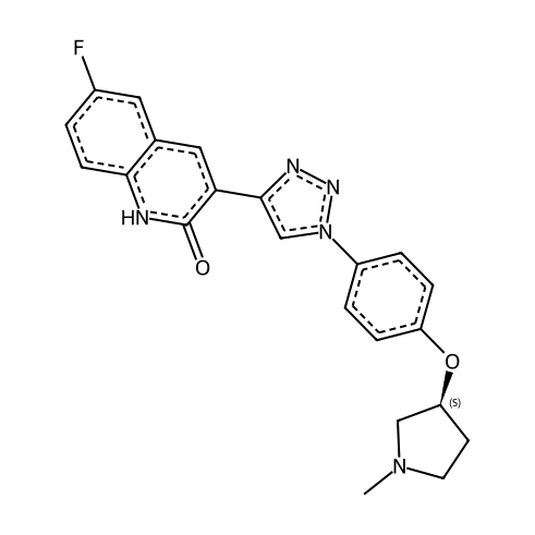 CN1CC[C@H](Oc2ccc(-n3cc(-c4cc5cc(F)ccc5[nH]c4=O)nn3)cc2)C1